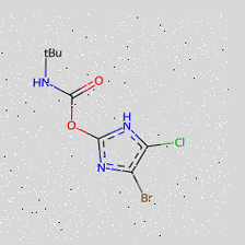 CC(C)(C)NC(=O)Oc1nc(Br)c(Cl)[nH]1